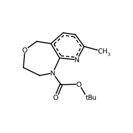 Cc1ccc2c(n1)N(C(=O)OC(C)(C)C)CCOC2